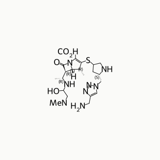 CNCC(O)N[C@H](C)[C@H]1C(=O)N2C(C(=O)O)=C(SC3CN[C@H](Cn4cc(CN)nn4)C3)[C@H](C)[C@H]12